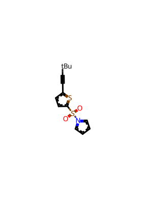 CC(C)(C)C#Cc1ccc(S(=O)(=O)n2cccc2)s1